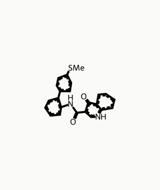 CSc1ccc(-c2ccccc2NC(=O)c2c[nH]c3ccccc3c2=O)cc1